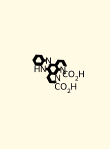 O=C(O)c1ccc2c3c(c4c(c2n1)N(C(=O)O)C=CC=4)=Nc1ccccc1N3